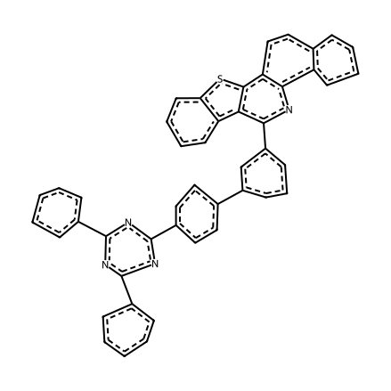 c1ccc(-c2nc(-c3ccccc3)nc(-c3ccc(-c4cccc(-c5nc6c7ccccc7ccc6c6sc7ccccc7c56)c4)cc3)n2)cc1